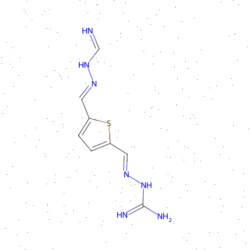 N=CN/N=C/c1ccc(/C=N/NC(=N)N)s1